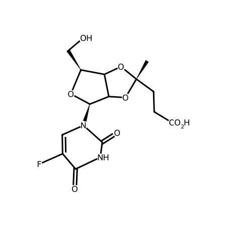 C[C@]1(CCC(=O)O)OC2C(O1)[C@@H](n1cc(F)c(=O)[nH]c1=O)O[C@H]2CO